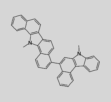 Cn1c2ccccc2c2c3ccccc3c(-c3cccc4c3ccc3c5ccc6ccccc6c5n(C)c43)cc21